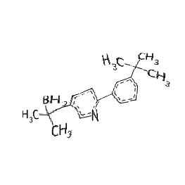 BC(C)(C)c1ccc(-c2cccc(C(C)(C)C)c2)nc1